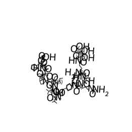 CC[C@H](C)[C@@H]([C@@H](CC(=O)N1CCC[C@H]1[C@H](OC)[C@@H](C)C(=O)N[C@H](C)[C@@H](OS(=O)(=O)O)c1ccccc1)OC)N(C)C(=O)[C@@H](NC(=O)[C@H](C(C)C)N(C)C(=O)OCc1ccc(NC(=O)[C@H](CCCNC(N)=O)NC(=O)[C@@H](NC(=O)[C@@H](N)CCC(=O)NC2O[C@H](C(=O)O)[C@@H](O)[C@H]2O)C(C)C)cc1)C(C)C